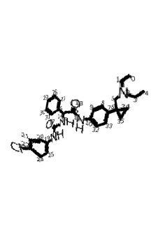 CCN(CC)CC1(c2ccc(NC(=O)C(NC(=O)Nc3ccc(Cl)cc3)c3ccccc3)cc2)CC1